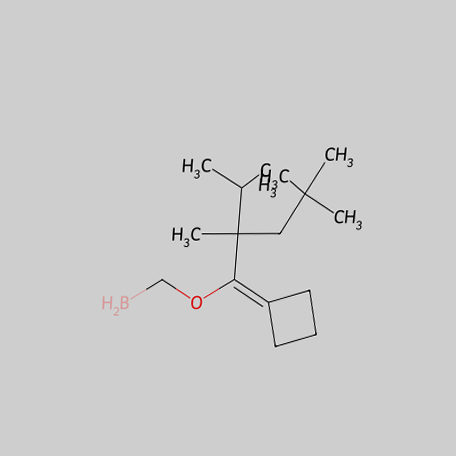 BCOC(=C1CCC1)C(C)(CC(C)(C)C)C(C)C